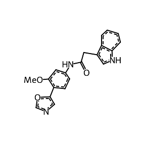 COc1cc(NC(=O)Cc2c[nH]c3ccccc23)ccc1-c1cnco1